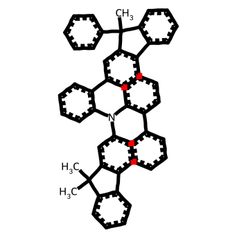 CC1(C)c2ccccc2-c2ccc(N(c3ccccc3-c3ccccc3)c3ccccc3-c3ccc4c(c3)C(C)(c3ccccc3)c3ccccc3-4)cc21